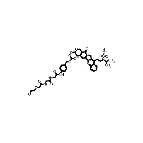 CC(C)N(CCc1c2c(nc3ccccc13)-c1cc3c(c(=O)n1C2)COC(=O)[C@H]3OC(=O)OCc1ccc(NC(=O)CNC(=O)CNC(=O)COCC=O)cc1)S(C)(=O)=O